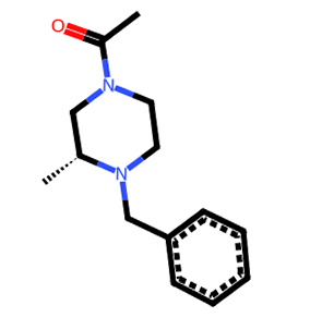 CC(=O)N1CCN(Cc2ccccc2)[C@H](C)C1